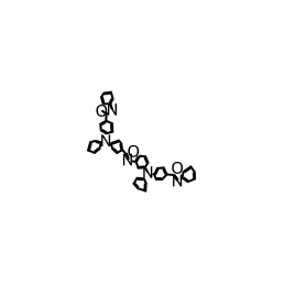 c1ccc(N(c2ccc(-c3nc4ccccc4o3)cc2)c2ccc(-c3nc4cc(N(c5ccccc5)c5ccc(-c6nc7ccccc7o6)cc5)ccc4o3)cc2)cc1